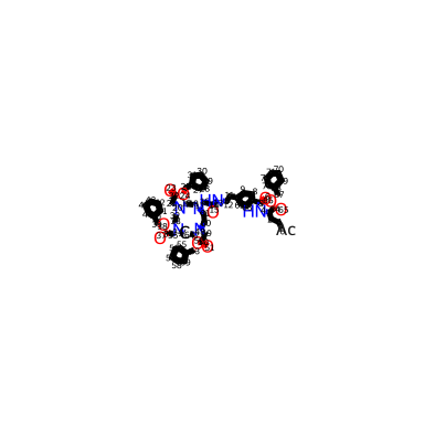 CC(=O)CCC(NC(=O)c1ccc(CCNC(=O)CN2CCN(CC(=O)OCc3ccccc3)CCN(CC(=O)OCc3ccccc3)CCN(CC(=O)OCc3ccccc3)CC2)cc1)C(=O)OCc1ccccc1